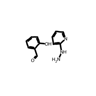 NNc1ccccn1.O=Cc1ccccc1O